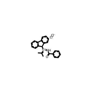 C[C](C)=[Ti+2]([NH]C(=O)c1ccccc1)[CH]1c2ccccc2-c2ccccc21.[Cl-].[Cl-]